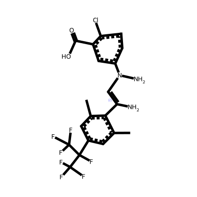 Cc1cc(C(F)(C(F)(F)F)C(F)(F)F)cc(C)c1/C(N)=C/N(N)c1ccc(Cl)c(C(=O)O)c1